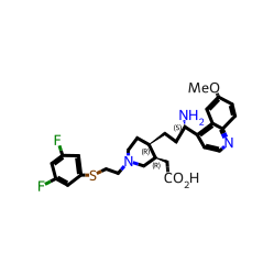 COc1ccc2nccc([C@@H](N)CC[C@@H]3CCN(CCSc4cc(F)cc(F)c4)C[C@@H]3CC(=O)O)c2c1